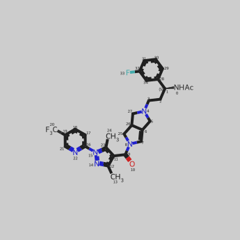 CC(=O)N[C@@H](CCN1CC2=CN(C(=O)c3c(C)nn(-c4ccc(C(F)(F)F)cn4)c3C)CC2C1)c1cccc(F)c1